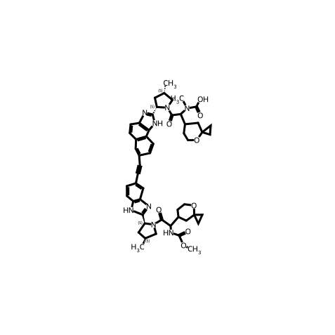 COC(=O)NC(C(=O)N1C[C@@H](C)C[C@H]1c1nc2cc(C#Cc3ccc4c(ccc5nc([C@@H]6C[C@H](C)CN6C(=O)C(C6CCOC7(CC7)C6)N(C)C(=O)O)[nH]c54)c3)ccc2[nH]1)C1CCOC2(CC2)C1